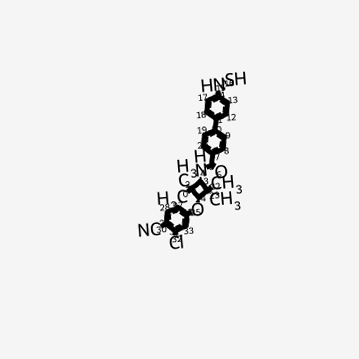 CC1(C)[C@H](NC(=O)c2ccc(-c3ccc(NS)cc3)cc2)C(C)(C)[C@H]1Oc1ccc(C#N)c(Cl)c1